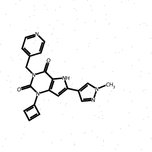 Cn1cc(-c2cc3c([nH]2)c(=O)n(Cc2ccncc2)c(=O)n3C2=CC=C2)cn1